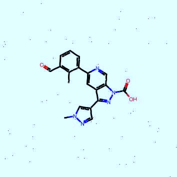 Cc1c(C=O)cccc1-c1cc2c(-c3cnn(C)c3)nn(C(=O)O)c2cn1